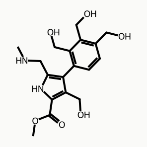 CNCc1[nH]c(C(=O)OC)c(CO)c1-c1ccc(CO)c(CO)c1CO